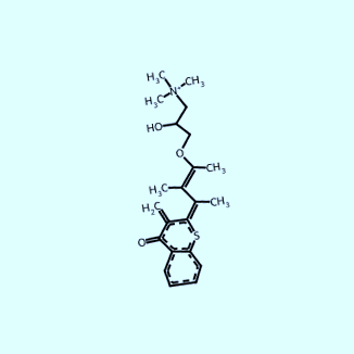 C=c1c(=O)c2ccccc2s/c1=C(C)/C(C)=C(\C)OCC(O)C[N+](C)(C)C